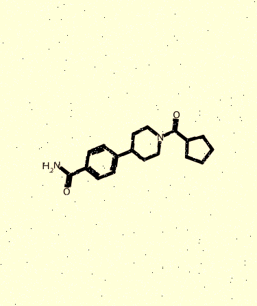 NC(=O)c1ccc(C2CCN(C(=O)C3CCCC3)CC2)cc1